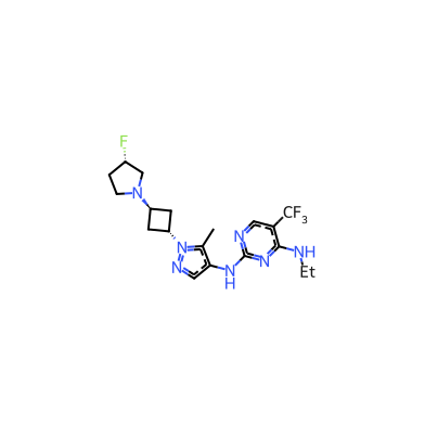 CCNc1nc(Nc2cnn([C@H]3C[C@H](N4CC[C@H](F)C4)C3)c2C)ncc1C(F)(F)F